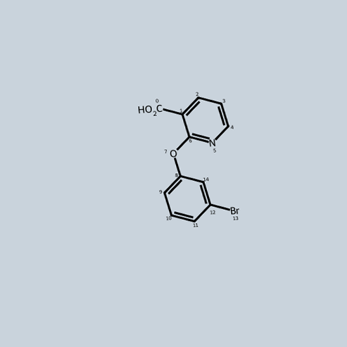 O=C(O)c1cccnc1Oc1cccc(Br)c1